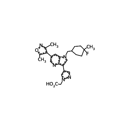 Cc1noc(C)c1-c1cnc2c(-c3cnn(CC(=O)O)c3)cn(CC3CCC(C)(F)CC3)c2c1